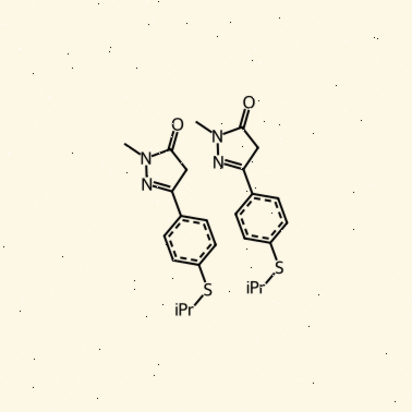 CC(C)Sc1ccc(C2=NN(C)C(=O)C2)cc1.CC(C)Sc1ccc(C2=NN(C)C(=O)C2)cc1